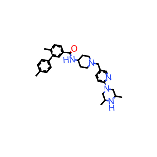 Cc1ccc(-c2cc(C(=O)NC3CCN(Cc4ccc(N5CC(C)NC(C)C5)nc4)CC3)ccc2C)cc1